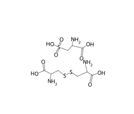 NC(CS(=O)(=O)O)C(=O)O.NC(CSSCC(N)C(=O)O)C(=O)O